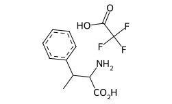 CC(c1ccccc1)C(N)C(=O)O.O=C(O)C(F)(F)F